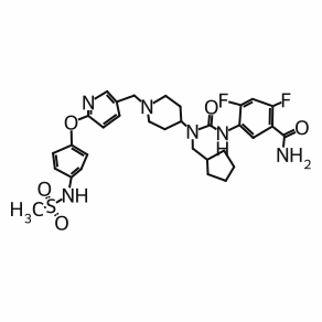 CS(=O)(=O)Nc1ccc(Oc2ccc(CN3CCC(N(CC4CCCC4)C(=O)Nc4cc(C(N)=O)c(F)cc4F)CC3)cn2)cc1